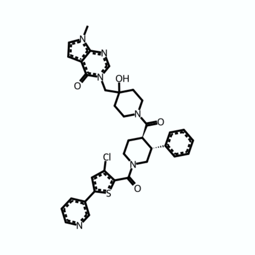 Cn1ccc2c(=O)n(CC3(O)CCN(C(=O)[C@@H]4CCN(C(=O)c5sc(-c6cccnc6)cc5Cl)C[C@H]4c4ccccc4)CC3)cnc21